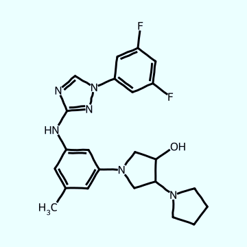 Cc1cc(Nc2ncn(-c3cc(F)cc(F)c3)n2)cc(N2CC(O)C(N3CCCC3)C2)c1